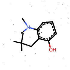 CN(C)c1cccc(O)c1CC(C)(C)C